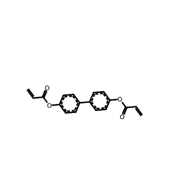 C=CC(=O)Oc1ccc(-c2ccc(OC(=O)C=C)cc2)cc1